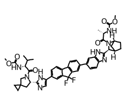 COC(=O)N[C@@H](C)C(=O)N1[C@@H]2CC[C@@H](C2)[C@H]1c1nc2ccc(-c3ccc4c(c3)C(F)(F)c3cc(-c5cnc([C@@H]6CC7(CC7)CN6C(=O)[C@H](NC(=O)OC)C(C)C)[nH]5)ccc3-4)cc2[nH]1